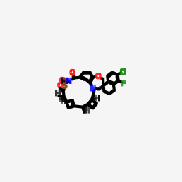 CC1C2=C[C@@H](C2)[C@H](C)[C@@H](C)S(=O)(=O)NC(=O)c2ccc3c(c2)N(C[C@@H]2CC[C@@H]12)C[C@@]1(CCCc2c1ccc(Cl)c2F)CO3